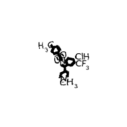 Cc1ccc(S(=O)(=O)n2cc(C3=CCN(C)CC3)c3cc(C(F)(F)F)ccc32)cc1.Cl